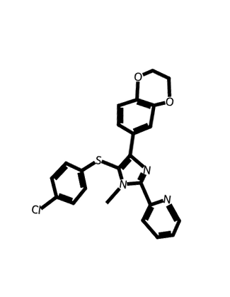 Cn1c(-c2ccccn2)nc(-c2ccc3c(c2)OCCO3)c1Sc1ccc(Cl)cc1